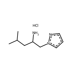 CC(C)CC(N)Cn1cccn1.Cl